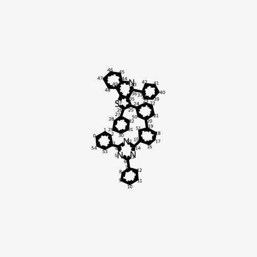 c1ccc(-c2nc(-c3ccccc3)nc(-c3cccc(-c4cccc(-c5c(-c6ccccc6)sc6c5c(-c5ccccc5)nc5ccccc56)c4)c3)n2)cc1